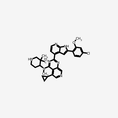 COc1cc(Cl)ccc1-c1cc2c(-c3nc(N(C)C4CCNCC4(C)C)c4c(C5CC5)cncc4n3)ccnc2[nH]1